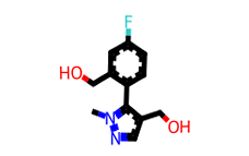 Cn1ncc(CO)c1-c1ccc(F)cc1CO